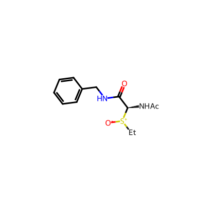 CC[S+]([O-])[C@H](NC(C)=O)C(=O)NCc1ccccc1